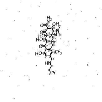 CC(C)CCNCc1cc(O)c2c(c1C(F)(F)F)C[C@H]1C[C@H]3[C@H](N(C)C)C(O)=C(C(N)=O)C(=O)[C@@]3(O)C(O)=C1C2=O